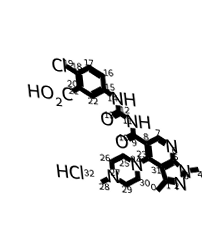 Cc1nn(C)c2ncc(C(=O)NC(=O)Nc3ccc(Cl)c(C(=O)O)c3)c(N3CCN(C)CC3)c12.Cl